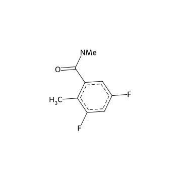 CNC(=O)c1cc(F)cc(F)c1C